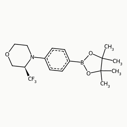 CC1(C)OB(c2ccc(N3CCOC[C@@H]3C(F)(F)F)cc2)OC1(C)C